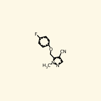 Cn1ncc(C#N)c1COc1ccc(F)cc1